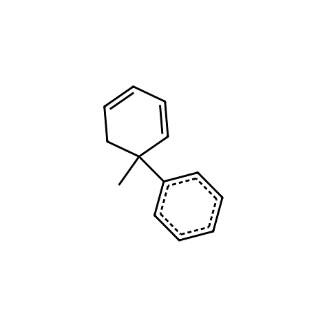 CC1(c2ccccc2)C=CC=CC1